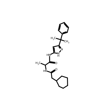 CC(NC(=O)CC1CCCCC1)C(=O)Nc1cc(C(C)(C)c2ccccc2)n[nH]1